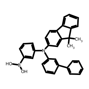 CC1(C)c2ccccc2-c2ccc(N(c3cccc(B(O)O)c3)c3cccc(-c4ccccc4)c3)cc21